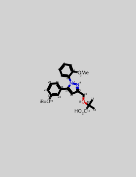 COc1ccccc1-n1nc(COC(C)(C)C(=O)O)cc1-c1cccc(OCC(C)C)c1